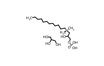 CCCCCCCCCCCC[N+](C)(C)CC(O)COP(=O)(O)O.OCC(O)CO